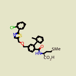 CSCC[C@H](NC(=O)c1ccc(COCc2cnc(-c3ccccc3Cl)s2)cc1-c1ccccc1C)C(=O)O